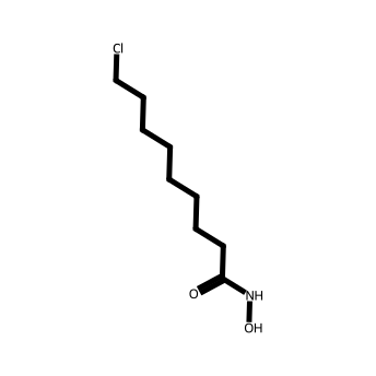 O=C(CCCCCCCCCl)NO